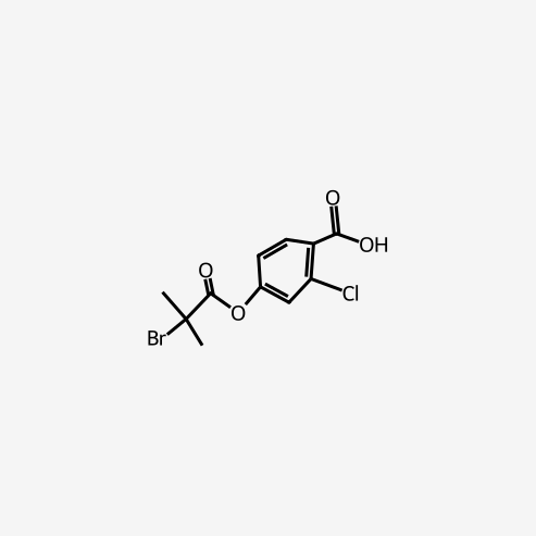 CC(C)(Br)C(=O)Oc1ccc(C(=O)O)c(Cl)c1